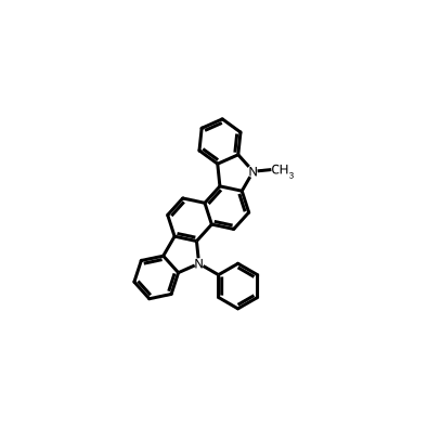 Cn1c2ccccc2c2c3ccc4c5ccccc5n(-c5ccccc5)c4c3ccc21